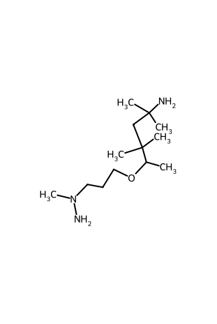 CC(OCCCN(C)N)C(C)(C)CC(C)(C)N